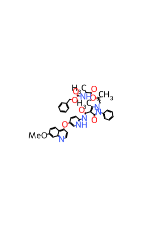 COc1ccc2c(Oc3ccc(NC(=O)c4c(C)n(C[C@@H](C)OC(=O)C(C)NC(=O)OCc5ccccc5)n(-c5ccccc5)c4=O)nc3)ccnc2c1